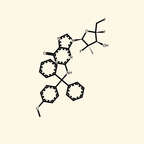 COc1ccc(C(Nc2nc3c(ncn3[C@H]3O[C@](F)(CI)[C@@H](O)[C@@]3(C)F)c(=O)[nH]2)(c2ccccc2)c2ccccc2)cc1